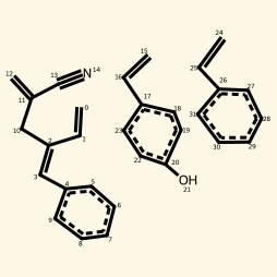 C=CC(=Cc1ccccc1)CC(=C)C#N.C=Cc1ccc(O)cc1.C=Cc1ccccc1